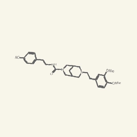 COc1ccc(CCN2CC3CC(C2)CN(C(=O)NCCc2ccc(C#N)cc2)C3)cc1OC